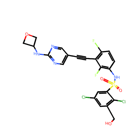 O=S(=O)(Nc1ccc(F)c(C#Cc2cnc(NC3COC3)nc2)c1F)c1cc(Cl)cc(CO)c1Cl